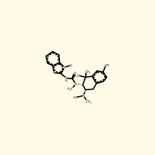 CCN(C)[C@@H]1Cc2ccc(O)cc2C(C)(C)[C@H]1N(C)C(=O)Nc1nc2ccccc2n1CC